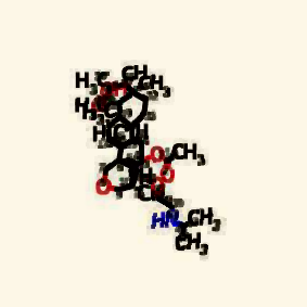 CC(=O)O[C@@H]1C[C@]23COC[C@@](C)([C@@H]2CC[C@H]2C3=CC[C@@]3(C)[C@H](C(=O)O)[C@@](C)([C@H](C)C(C)C)CC[C@]23C)[C@H]1OCCNC(C)C